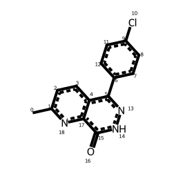 Cc1ccc2c(-c3ccc(Cl)cc3)n[nH]c(=O)c2n1